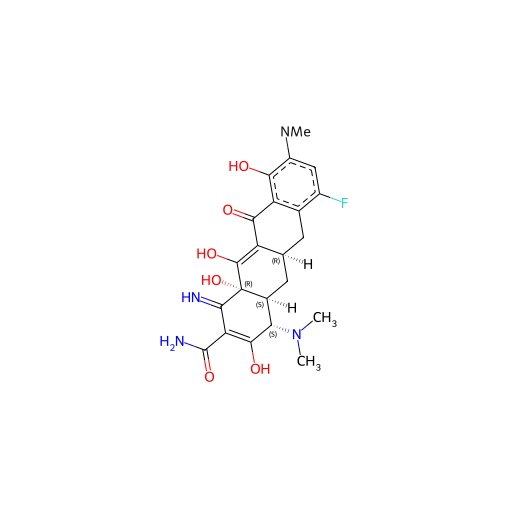 CNc1cc(F)c2c(c1O)C(=O)C1=C(O)[C@]3(O)C(=N)C(C(N)=O)=C(O)[C@@H](N(C)C)[C@@H]3C[C@@H]1C2